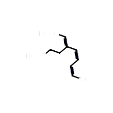 CC\C=C/C=C\C(=C\C(=O)O)CCC(=O)O